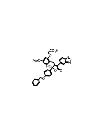 COc1ccc(CC2=C(c3ccc4nsnc4c3)C(=O)OC2(O)c2ccc(OCc3ccccc3)cc2)c(OCC(=O)O)c1